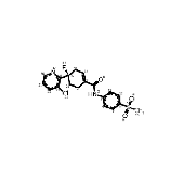 O=C(Nc1ccc(S(=O)(=O)C(F)(F)F)cc1)C1=CC[C@@](F)(c2ncccc2Cl)CC1